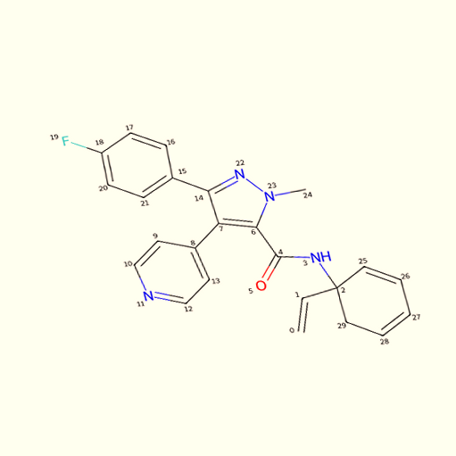 C=CC1(NC(=O)c2c(-c3ccncc3)c(-c3ccc(F)cc3)nn2C)C=CC=CC1